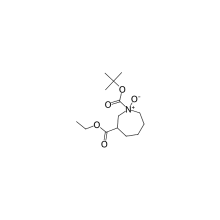 CCOC(=O)C1CCCC[N+]([O-])(C(=O)OC(C)(C)C)C1